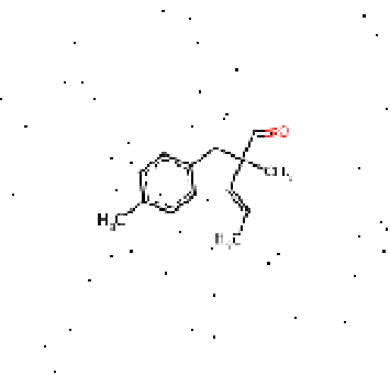 C/C=C/C(C)(C=O)Cc1ccc(C)cc1